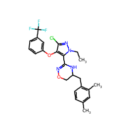 CCn1nc(Cl)c(Oc2cccc(C(F)(F)F)c2)c1C1=NOCC(Cc2ccc(C)cc2C)N1